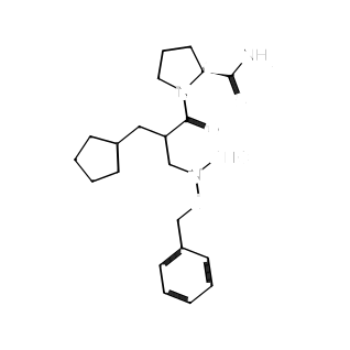 NC(=O)[C@@H]1CCCN1C(=O)C(CC1CCCC1)CN(C=O)OCc1ccccc1